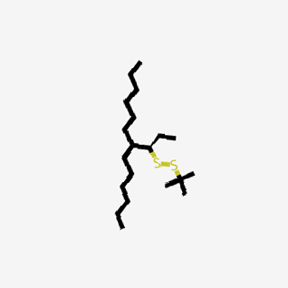 CCCCCCC(CCCCCC)[C@@H](CC)SSC(C)(C)C